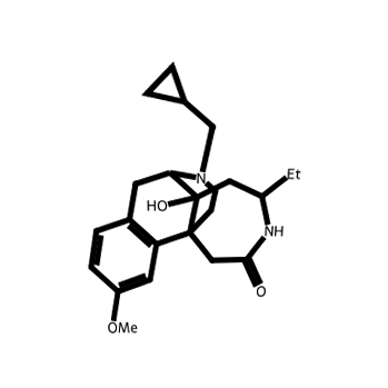 CCC1CC2(O)C3Cc4ccc(OC)cc4C2(CCN3CC2CC2)CC(=O)N1